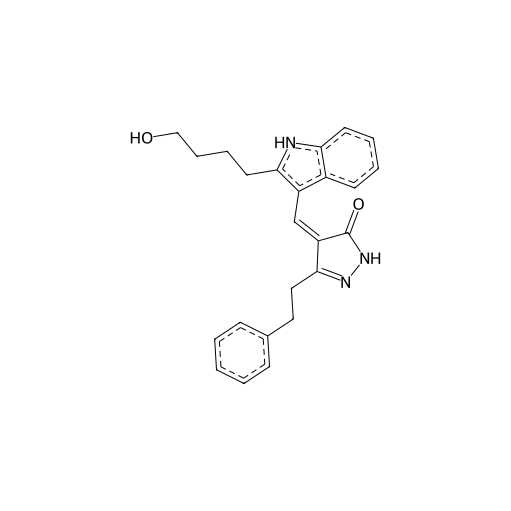 O=C1NN=C(CCc2ccccc2)C1=Cc1c(CCCCO)[nH]c2ccccc12